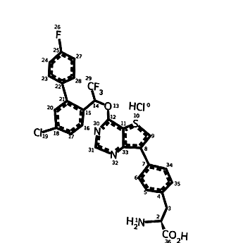 Cl.N[C@@H](Cc1ccc(-c2csc3c(OC(c4ccc(Cl)cc4-c4ccc(F)cc4)C(F)(F)F)ncnc23)cc1)C(=O)O